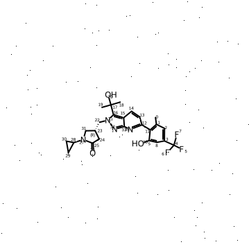 Cc1cc(C(F)(F)F)cc(O)c1-c1ccc2c(C(C)(C)O)n(C[C@@H]3CC(=O)N(C4CC4)C3)nc2n1